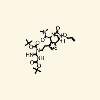 C=CCON1C(=O)N2C[C@@H]1c1scc(CCN(C(=N)NC(=O)OC(C)(C)C)C(=O)OC(C)(C)C)c1[C@H]2C(=O)N(C)C